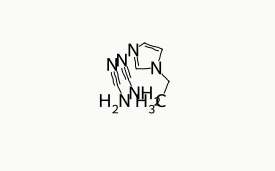 CCn1ccnc1.N#CN.N#CN